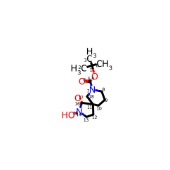 CC(C)(C)OC(=O)N1CCCC2(CCN(O)C2=O)C1